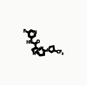 O=C(Nc1cncc(F)c1)c1cnc2ccc(N3CCC(C(F)(F)F)C3)nn12